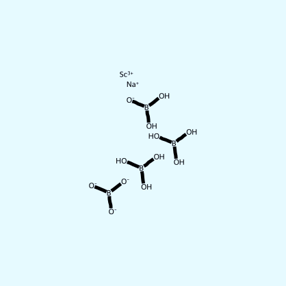 OB(O)O.OB(O)O.[Na+].[O-]B(O)O.[O-]B([O-])[O-].[Sc+3]